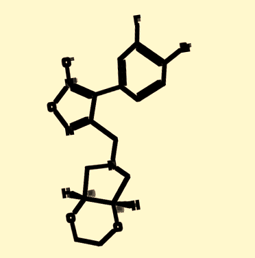 [O-][n+]1onc(CN2C[C@@H]3OCCO[C@@H]3C2)c1-c1ccc(Br)c(F)c1